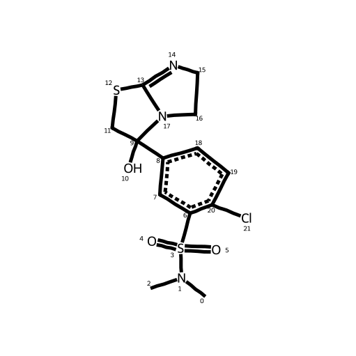 CN(C)S(=O)(=O)c1cc(C2(O)CSC3=NCCN32)ccc1Cl